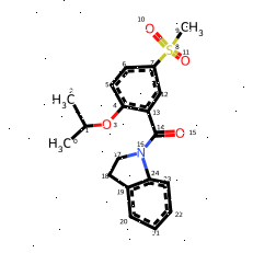 CC(C)Oc1ccc(S(C)(=O)=O)cc1C(=O)N1CCc2ccccc21